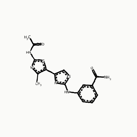 CC(=O)Nc1nc(C)c(-c2csc(Nc3cccc(C(N)=O)c3)n2)s1